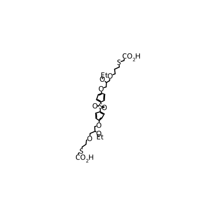 CCOC(COCCCSCC(=O)O)COc1ccc(S(=O)(=O)c2ccc(OCC(COCCCSCC(=O)O)OCC)cc2)cc1